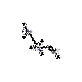 CC(C)(C)OC(=O)/N=C(/NCCCCCCCCN(C(=O)OC(C)(C)C)/C(=N/C(=O)OC(C)(C)C)N(CCCSc1ccc(C(=N)NC(=O)OC(C)(C)C)cc1)C(=O)OC(C)(C)C)NC(=O)OC(C)(C)C